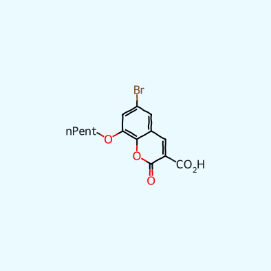 CCCCCOc1cc(Br)cc2cc(C(=O)O)c(=O)oc12